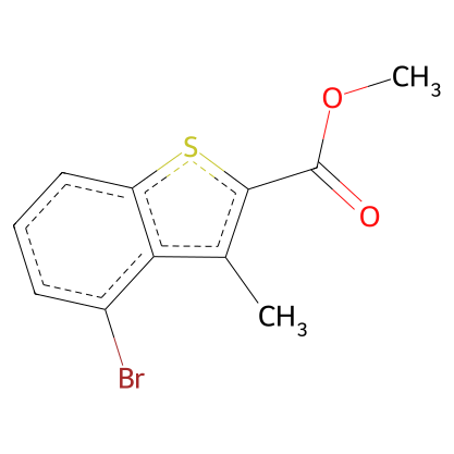 COC(=O)c1sc2cccc(Br)c2c1C